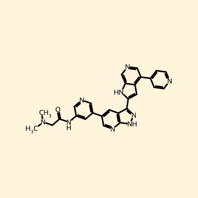 CN(C)CC(=O)Nc1cncc(-c2cnc3[nH]nc(-c4cc5c(-c6ccncc6)cncc5[nH]4)c3c2)c1